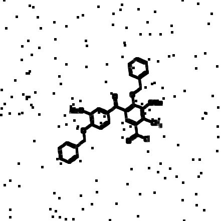 COc1cc(C(=O)c2cc(C(=O)Cl)c(C)c(OC)c2OCc2ccccc2)ccc1OCc1ccccc1